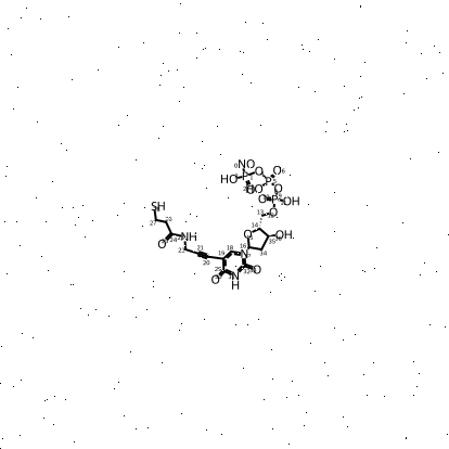 O=NP(=O)(O)OP(=O)(O)OP(=O)(O)OC[C@H]1OC(n2cc(C#CCNC(=O)CCS)c(=O)[nH]c2=O)C[C@@H]1O